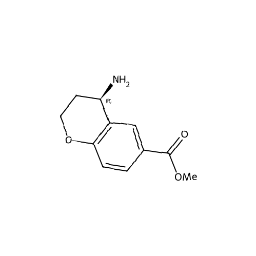 COC(=O)c1ccc2c(c1)[C@H](N)CCO2